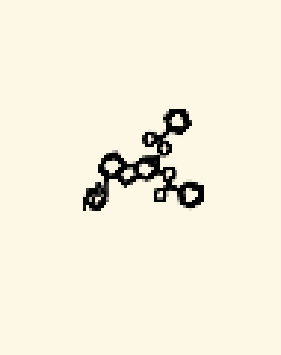 O=C(OC1C2CC(C1OC(=O)c1ccccc1)C1c3cccc(-n4ccnc4)c3CC21)c1ccccc1